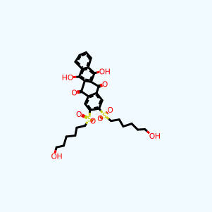 O=C1c2cc(S(=O)(=O)CCCCCCO)c(S(=O)(=O)CCCCCCO)cc2C(=O)c2c1c(O)c1ccccc1c2O